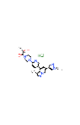 CC(C)[C@@H](O)C(=O)N1CCN(c2ccc(-c3cc(-c4cnn(C)c4)cn4ncc(C#N)c34)cn2)CC1.Cl